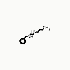 CCCCNCCNCc1ccccc1